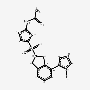 CC(=O)Nc1ncc(S(=O)(=O)N2Cc3cccc(-c4cncn4F)c3C2)s1